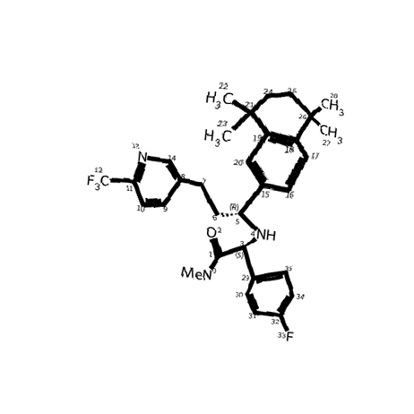 CNC(=O)[C@@H](N[C@H](CCc1ccc(C(F)(F)F)nc1)c1ccc2c(c1)C(C)(C)CCC2(C)C)c1ccc(F)cc1